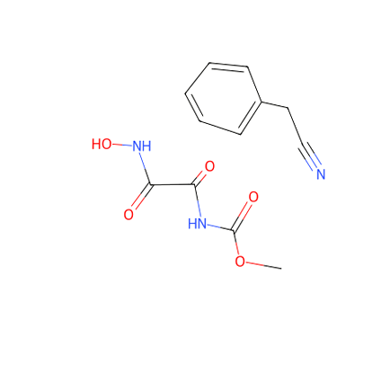 COC(=O)NC(=O)C(=O)NO.N#CCc1ccccc1